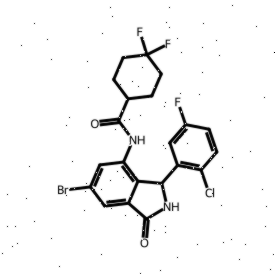 O=C1NC(c2cc(F)ccc2Cl)c2c(NC(=O)C3CCC(F)(F)CC3)cc(Br)cc21